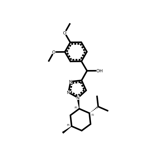 COc1ccc(C(O)c2cn([C@@H]3C[C@H](C)CC[C@H]3C(C)C)nn2)cc1OC